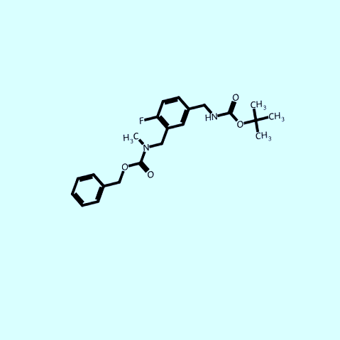 CN(Cc1cc(CNC(=O)OC(C)(C)C)ccc1F)C(=O)OCc1ccccc1